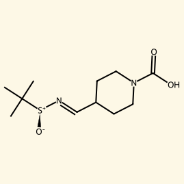 CC(C)(C)[S@+]([O-])/N=C/C1CCN(C(=O)O)CC1